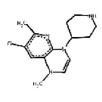 Cc1nc2c(cc1Cl)N(C)C=CN2C1CCNCC1